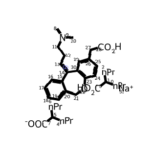 CCCC(CCC)C(=O)O.CCCC(CCC)C(=O)[O-].CN(C)CC/C=C1/c2ccccc2COc2ccc(CC(=O)O)cc21.[Na+]